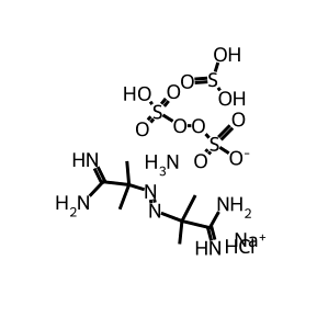 CC(C)(N=NC(C)(C)C(=N)N)C(=N)N.Cl.N.O=S(=O)([O-])OOS(=O)(=O)O.O=S(O)O.[Na+]